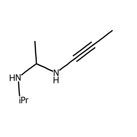 CC#CNC(C)NC(C)C